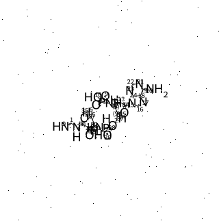 N=CN[C@@H]1O[C@@H]2COP(=O)(O)N[C@H]3C[C@H](N4C=NC5C(N)=NC=NC54)O[C@@H]3CO[PH](=O)N[C@H]2[C@H]1O